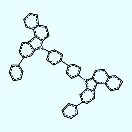 c1ccc(-c2ccc3c4c5ccccc5ccc4n(-c4ccc(-c5ccc(-n6c7cc(-c8ccccc8)ccc7c7c8ccccc8ccc76)cc5)cc4)c3c2)cc1